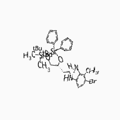 Cc1c(Br)ccc(NCC[C@H](CO[Si](C)(C)C(C)(C)C)O[Si](c2ccccc2)(c2ccccc2)C(C)(C)C)c1N